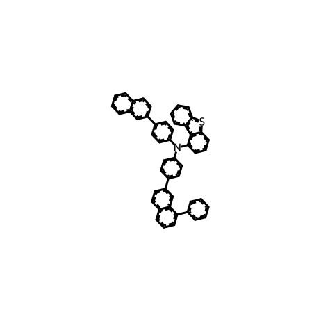 c1ccc(-c2cccc3ccc(-c4ccc(N(c5ccc(-c6ccc7ccccc7c6)cc5)c5cccc6sc7ccccc7c56)cc4)cc23)cc1